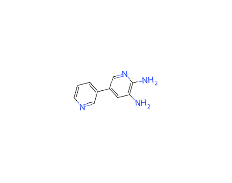 Nc1cc(-c2cccnc2)cnc1N